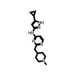 CN1CCC(Cc2nccc(Nc3cc(C4CC4)[nH]n3)n2)CC1